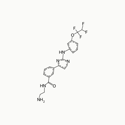 NCCNC(=O)c1cccc(-c2ccnc(Nc3cccc(OC(F)(F)C(F)F)c3)n2)c1